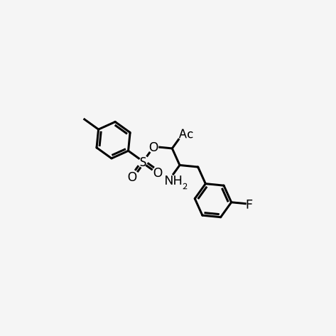 CC(=O)C(OS(=O)(=O)c1ccc(C)cc1)C(N)Cc1cccc(F)c1